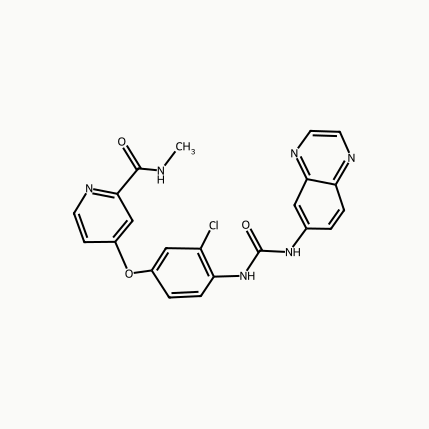 CNC(=O)c1cc(Oc2ccc(NC(=O)Nc3ccc4nccnc4c3)c(Cl)c2)ccn1